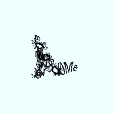 COc1cccc([C@H](Oc2ccc3c(cnn3-c3ccc(F)cc3)c2)[C@H](C)NC(=O)c2cc(C)on2)c1